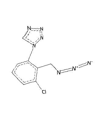 [N-]=[N+]=NCc1c(Cl)cccc1-n1cnnn1